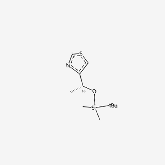 C[C@@H](O[Si](C)(C)C(C)(C)C)c1cs[c]n1